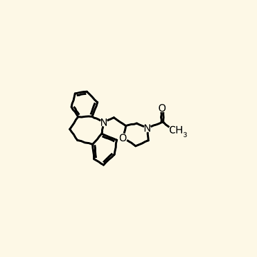 CC(=O)N1CCOC(CN2c3ccccc3CCc3ccccc32)C1